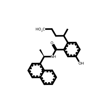 CC(CCC(=O)O)c1ccc(O)cc1C(=O)N[C@H](C)c1cccc2ccccc12